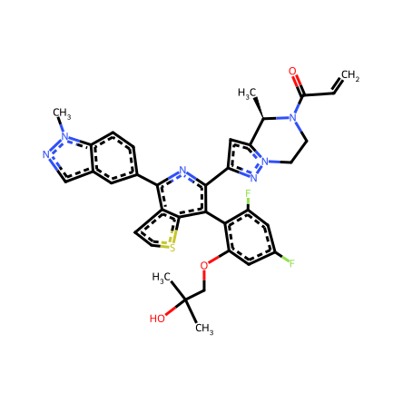 C=CC(=O)N1CCn2nc(-c3nc(-c4ccc5c(cnn5C)c4)c4ccsc4c3-c3c(F)cc(F)cc3OCC(C)(C)O)cc2[C@H]1C